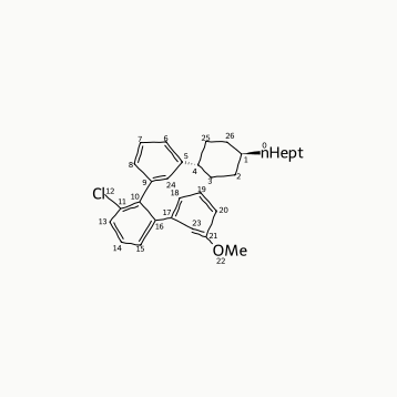 CCCCCCC[C@H]1CC[C@H](c2cccc(-c3c(Cl)cccc3-c3cccc(OC)c3)c2)CC1